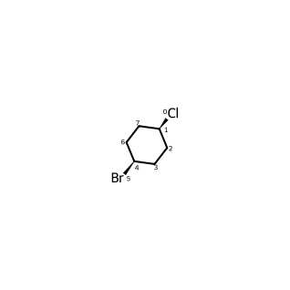 Cl[C@H]1CC[C@@H](Br)CC1